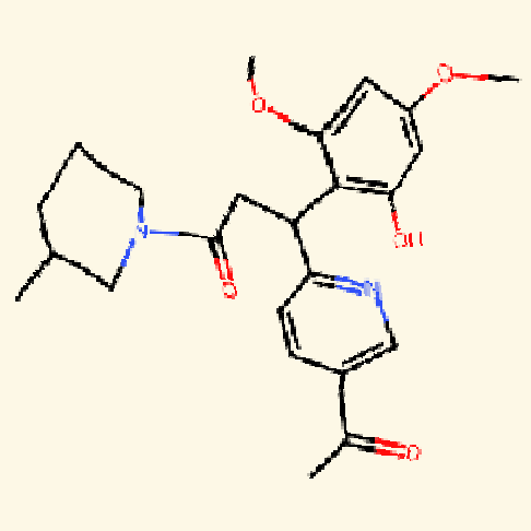 COc1cc(O)c(C(CC(=O)N2CCCC(C)C2)c2ccc(C(C)=O)cn2)c(OC)c1